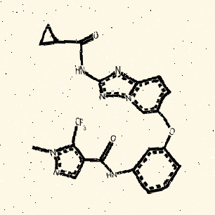 Cn1ncc(C(=O)Nc2cccc(Oc3ccc4nc(NC(=O)C5CC5)nn4c3)c2)c1C(F)(F)F